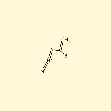 C=C(Br)N=[N+]=[N-]